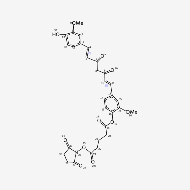 COc1cc(/C=C/C(=O)CC(=O)/C=C/c2ccc(OC(=O)CCCC(=O)ON3C(=O)CCC3=O)c(OC)c2)ccc1O